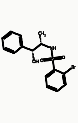 C[C@H](NS(=O)(=O)c1ccccc1Br)[C@H](O)c1ccccc1